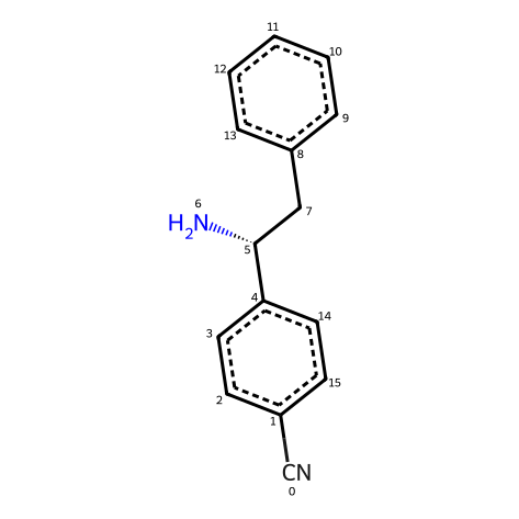 N#Cc1ccc([C@H](N)Cc2ccccc2)cc1